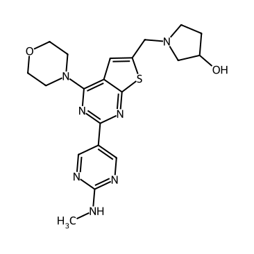 CNc1ncc(-c2nc(N3CCOCC3)c3cc(CN4CCC(O)C4)sc3n2)cn1